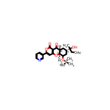 CC(=O)OCC(C)(O)[C@@H]1CC(O[Si](C)(C)C(C)(C)C)[C@@]2(C)Oc3cc(-c4cccnc4)oc(=O)c3C(=O)[C@@H]2C1